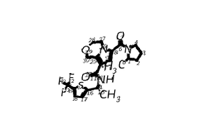 CC1CCCN1C(=O)c1cc(C(=O)N[C@H](C)c2ccc(C(F)(F)F)s2)c2n1CCOC2